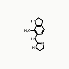 Cc1c(NC2=NCCN2)ccc2c1NCC2